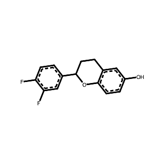 Oc1ccc2c(c1)CCC(c1ccc(F)c(F)c1)O2